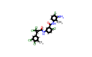 Cc1c(NC(=O)c2cc(NC(=O)C3C(c4cc(Cl)c(Cl)c(C(F)(F)F)c4)C3(Cl)Cl)ccc2Cl)ccc(F)c1N